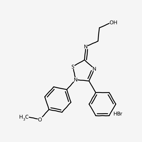 Br.COc1ccc(-n2sc(=NCCO)nc2-c2ccccc2)cc1